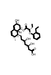 CCc1ccccc1O[C@@H](CC)C(=O)O[C@H]1C[C@H](O)C=C2C=C[C@@H](C)[C@H](CC[C@@H](O)C[C@@H](O)CC(=O)O)[C@H]21